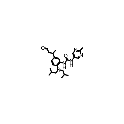 Cc1ncc(NC(=O)Nc2cc(C(C)CC=O)ccc2N(CC(C)C)CC(C)C)cn1